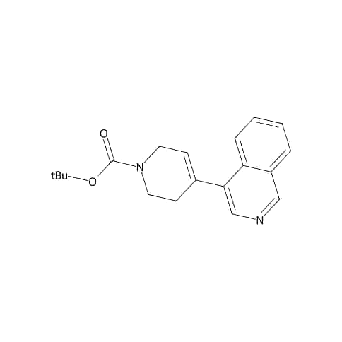 CC(C)(C)OC(=O)N1CC=C(c2cncc3ccccc23)CC1